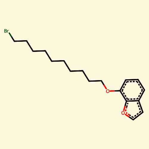 BrCCCCCCCCCCOc1cccc2ccoc12